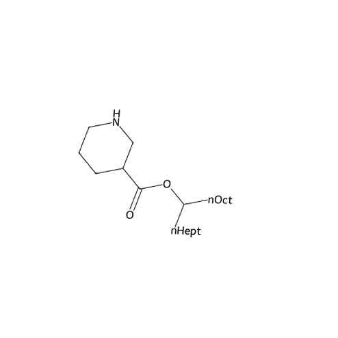 CCCCCCCCC(CCCCCCC)OC(=O)C1CCCNC1